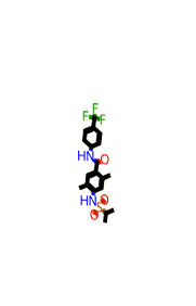 Cc1cc(C(=O)NC2C=CC(C(F)(F)F)=CC2)c(C)cc1NS(=O)(=O)C(C)C